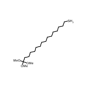 COC(CCCCCCCCCCCCCCC[SiH3])(OC)OC